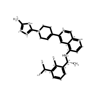 Cc1nnc(N2CC=C(c3cc4c(N[C@H](C)c5cccc(C(F)F)c5F)ccnc4cn3)CC2)o1